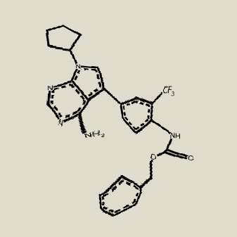 Nc1ncnc2c1c(-c1ccc(NC(=O)OCc3ccccc3)c(C(F)(F)F)c1)cn2C1CCCC1